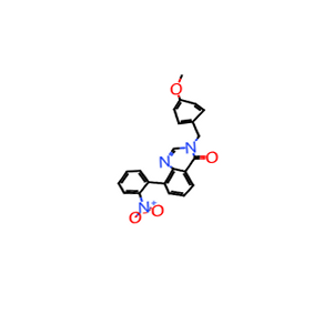 COc1ccc(Cn2cnc3c(-c4ccccc4[N+](=O)[O-])cccc3c2=O)cc1